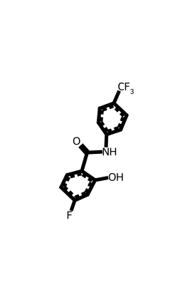 O=C(Nc1ccc(C(F)(F)F)cc1)c1ccc(F)cc1O